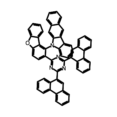 c1ccc2cc3c(cc2c1)c1ccccc1n3-c1c(-c2nc(-c3cc4ccccc4c4ccccc34)nc(-c3cc4ccccc4c4ccccc34)n2)ccc2oc3ccccc3c12